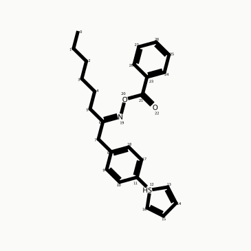 CCCCCCC(Cc1ccc([SH]2C=CC=C2)cc1)=NOC(=O)c1ccccc1